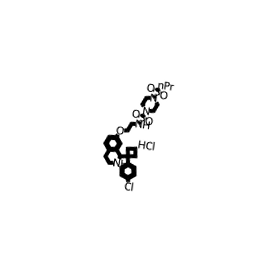 CCCS(=O)(=O)N1CCN(S(=O)(=O)NCCOc2ccc3c(c2)C(C2(c4ccc(Cl)cc4)CCC2)NCC3)CC1.Cl